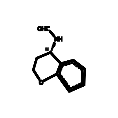 O=CN[C@H]1CCOc2ccccc21